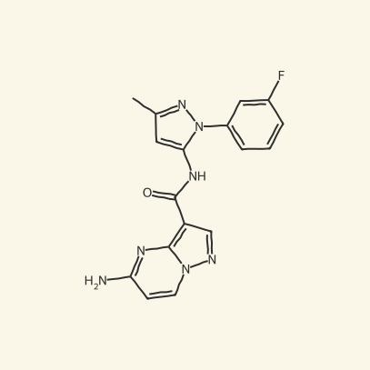 Cc1cc(NC(=O)c2cnn3ccc(N)nc23)n(-c2cccc(F)c2)n1